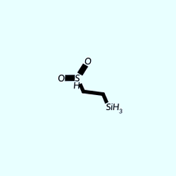 O=[SH](=O)CC[SiH3]